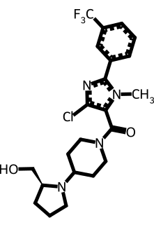 Cn1c(-c2cccc(C(F)(F)F)c2)nc(Cl)c1C(=O)N1CCC(N2CCC[C@H]2CO)CC1